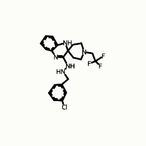 FC(F)(F)CN1CCC2(CC1)Nc1ccccc1N=C2NNCc1cccc(Cl)c1